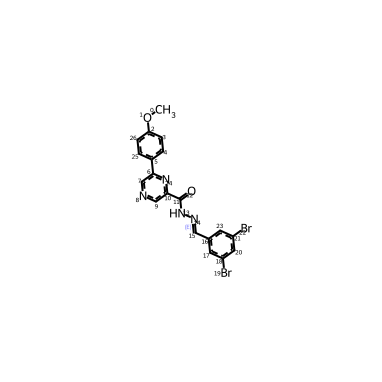 COc1ccc(-c2cncc(C(=O)N/N=C/c3cc(Br)cc(Br)c3)n2)cc1